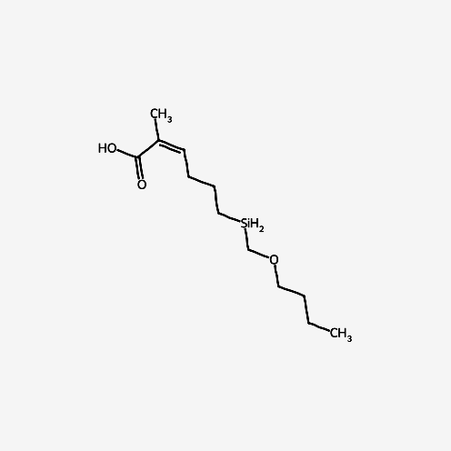 CCCCOC[SiH2]CCCC=C(C)C(=O)O